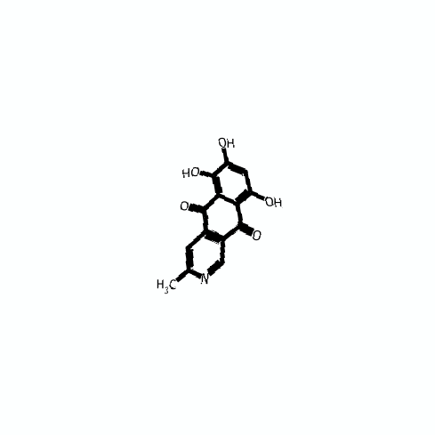 Cc1cc2c(cn1)C(=O)c1c(O)cc(O)c(O)c1C2=O